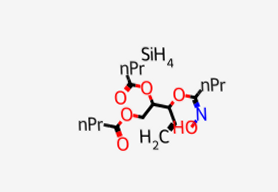 C=CC(OC(CCC)=NO)C(COC(=O)CCC)OC(=O)CCC.[SiH4]